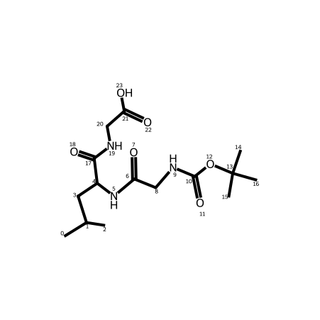 CC(C)CC(NC(=O)CNC(=O)OC(C)(C)C)C(=O)NCC(=O)O